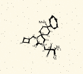 CN[C@]1(c2ccccc2)CC[C@@]2(CC1)CN(CC(C)(C)C(N)=O)C(=O)N2CC1CCC1